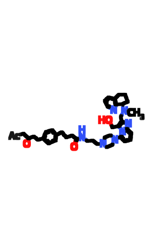 CC(=O)CC(=O)CCc1ccc(CCCC(=O)NCCCN2CCN(c3cccc4nc(CN(C)[C@H]5CCCc6cccnc65)c(CO)n34)CC2)cc1